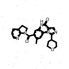 Cc1cc2c(cc1C(=O)N1CCc3cccnc31)[nH]c(=O)c1cnc(C3CCOCC3)n12